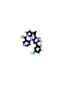 O=C(c1cnccc1Nc1cc(-c2cc(Cl)ccc2F)c(=O)[nH]c1C1CC1)N1CCCC1